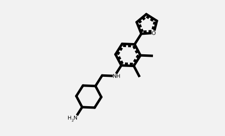 Cc1c(NCC2CCC(N)CC2)ccc(-c2ccco2)c1C